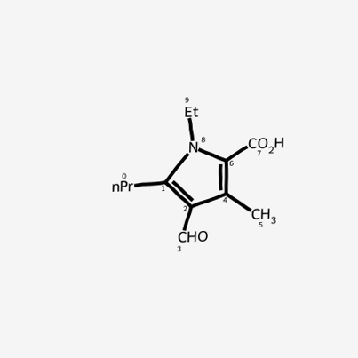 CCCc1c(C=O)c(C)c(C(=O)O)n1CC